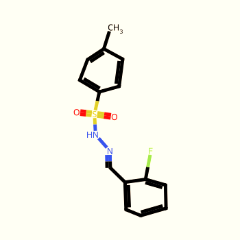 Cc1ccc(S(=O)(=O)NN=Cc2ccccc2F)cc1